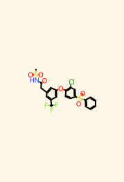 CS(=O)(=O)NC(=O)Cc1cc(Oc2ccc(S(=O)(=O)c3ccccc3)cc2Cl)cc(C(F)(F)F)c1